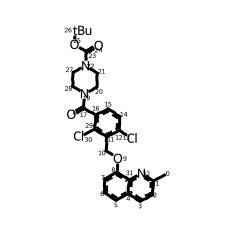 Cc1ccc2cccc(OCc3c(Cl)ccc(C(=O)N4CCN(C(=O)OC(C)(C)C)CC4)c3Cl)c2n1